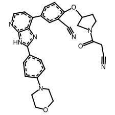 N#CCC(=O)N1CCC(Oc2ccc(-c3ccnc4[nH]c(-c5ccc(N6CCOCC6)cc5)nc34)cc2C#N)C1